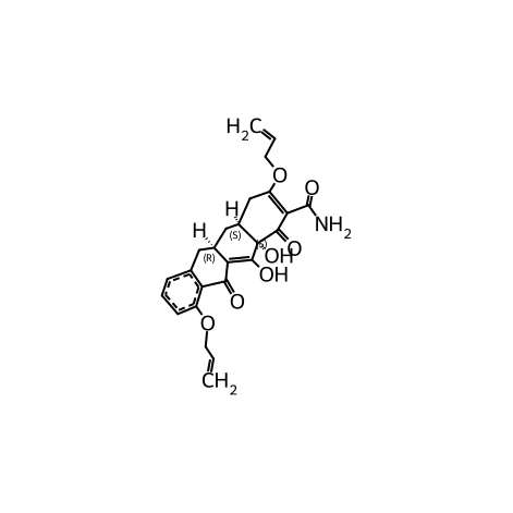 C=CCOC1=C(C(N)=O)C(=O)[C@@]2(O)C(O)=C3C(=O)c4c(cccc4OCC=C)C[C@H]3C[C@H]2C1